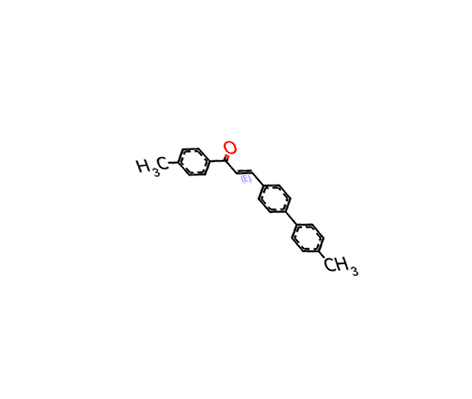 Cc1ccc(C(=O)/C=C/c2ccc(-c3ccc(C)cc3)cc2)cc1